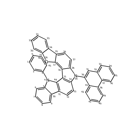 c1ccc(-n2c3ccccc3c3ccc4c(c5c6oc7ccccc7c6ccc5n4-c4cc5ccccc5c5ccccc45)c32)cc1